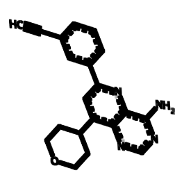 C#Cc1cccc(-c2cc(C3CCOCC3)c3ncnc(N)c3n2)c1